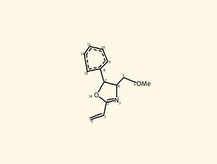 C=CC1=NC(COC)C(c2ccccc2)O1